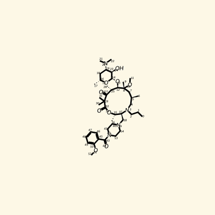 CCCN1C[C@H](C)C[C@@](C)(OC)[C@H](O[C@@H]2O[C@H](C)C[C@H](N(C)C)[C@H]2O)[C@@H](C)C(=O)C(C)(C)C(=O)O[C@@H](C)[C@@H]1CN1CCN(C(=O)c2ccccc2OC)CC1